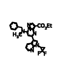 CCOC(=O)c1cnn2c(N(C)Cc3ccccc3)cc(-c3cn(C4CC4(F)F)c4ncccc34)nc12